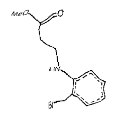 COC(=O)CCNc1ccccc1Br